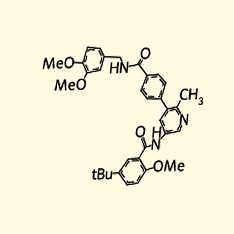 COc1ccc(CNC(=O)c2ccc(-c3cc(NC(=O)c4cc(C(C)(C)C)ccc4OC)cnc3C)cc2)cc1OC